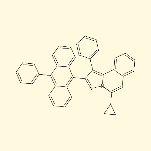 c1ccc(-c2c3ccccc3c(-c3nn4c(C5CC5)cc5ccccc5c4c3-c3ccccc3)c3ccccc23)cc1